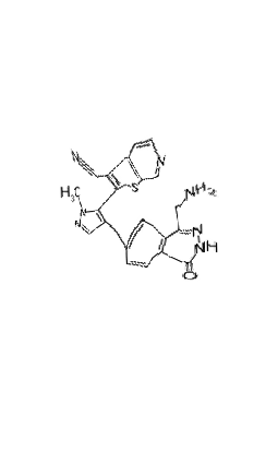 Cn1ncc(-c2ccc3c(=O)[nH]nc(CN)c3c2)c1-c1sc2cnccc2c1C#N